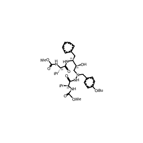 COC(=O)N[C@H](C(=O)N[C@@H](Cc1ccccc1)[C@@H](O)CN(Cc1ccc(OCC(C)C)cc1)NC(=O)[C@@H](NC(=O)OC)C(C)C)C(C)C